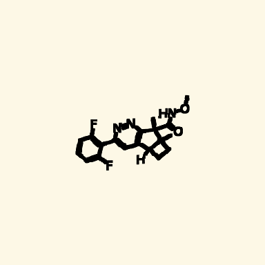 CONC(=O)C1(C)c2nnc(-c3c(F)cccc3F)cc2[C@H]2CCC21C